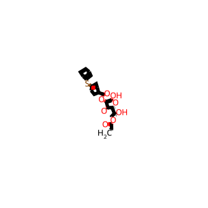 C=CC(=O)OC[C@H](O)[C@H]1OC(O)=C(OC(=O)C2CC3CC2CC3SC2CC3C=CC2C3)C1=O